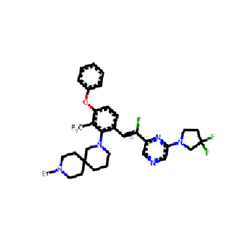 CCN1CCC2(CCCN(c3c(/C=C(\F)c4cncc(N5CCC(F)(F)C5)n4)ccc(Oc4ccccc4)c3C(F)(F)F)C2)CC1